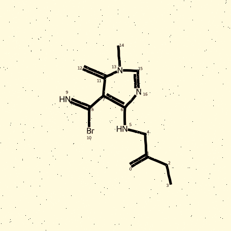 C=C(CC)CNC1=C(C(=N)Br)C(=C)N(C)C=N1